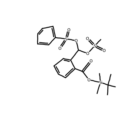 CC(C)(C)[Si](C)(C)OC(=O)c1ccccc1C(OS(C)(=O)=O)OS(=O)(=O)c1ccccc1